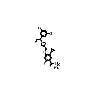 CCC(c1cc(Cl)cc(Cl)c1)N1CC(COc2cc(F)c(C(=O)NS(C)(=O)=O)cc2C2CC2)C1